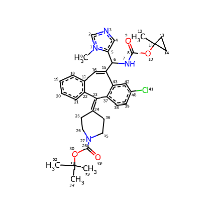 Cn1cncc1C(NC(=O)OC1(C)CC1)C1=Cc2ccccc2C(=C2CCN(C(=O)OC(C)(C)C)CC2)c2ccc(Cl)cc21